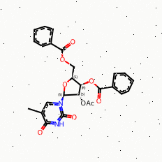 CC(=O)O[C@H]1[C@H](OC(=O)c2ccccc2)[C@H](COC(=O)c2ccccc2)O[C@@H]1n1cc(C)c(=O)[nH]c1=O